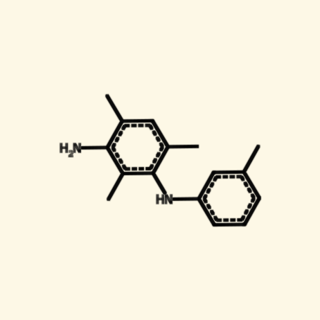 Cc1cccc(Nc2c(C)cc(C)c(N)c2C)c1